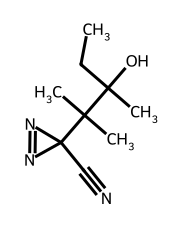 CCC(C)(O)C(C)(C)C1(C#N)N=N1